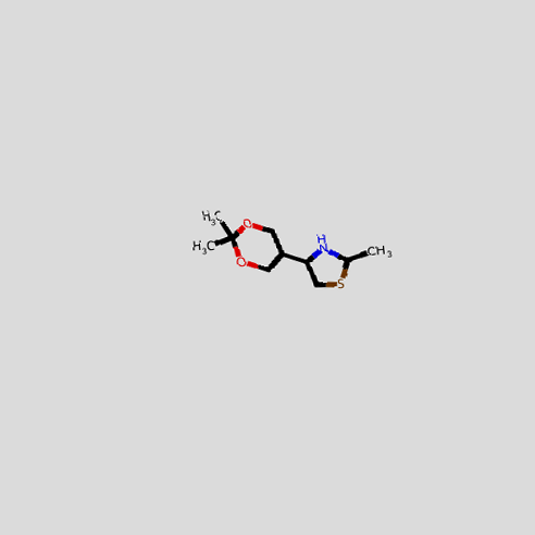 CC1NC(C2COC(C)(C)OC2)CS1